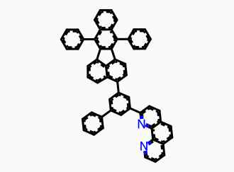 c1ccc(-c2cc(-c3ccc4ccc5cccnc5c4n3)cc(-c3ccc4c5c(cccc35)-c3c-4c(-c4ccccc4)c4ccccc4c3-c3ccccc3)c2)cc1